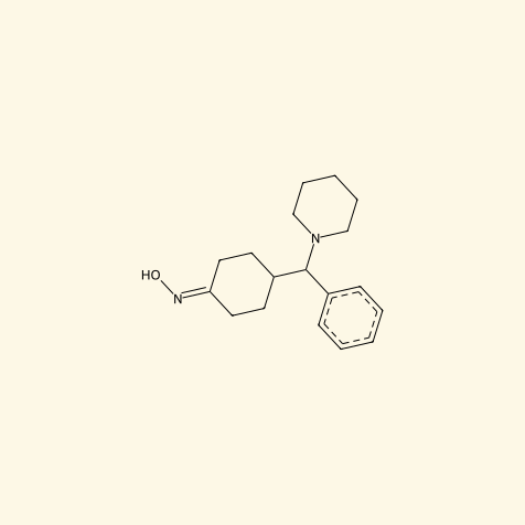 ON=C1CCC(C(c2ccccc2)N2CCCCC2)CC1